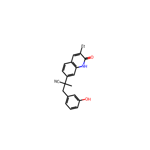 CCc1cc2ccc(C(C)(C#N)Cc3cccc(O)c3)cc2[nH]c1=O